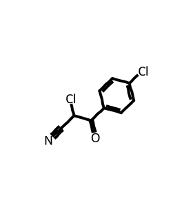 N#CC(Cl)C(=O)c1ccc(Cl)cc1